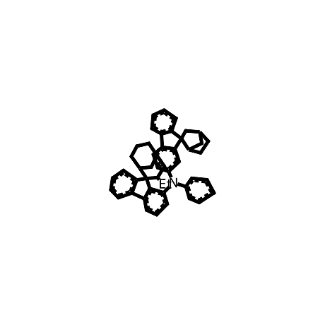 CCC1CC2CCCC(C2)C12c1ccccc1-c1cccc(N(c3ccccc3)c3ccc4c(c3)C3(CC5CCC3C5)c3ccccc3-4)c12